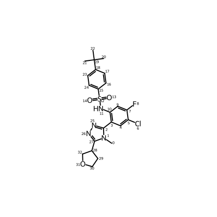 Cn1c(-c2cc(Cl)c(F)cc2NS(=O)(=O)c2ccc(C(C)(C)C)cc2)nnc1C1CCOC1